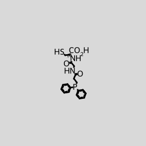 O=C(CCP(c1ccccc1)c1ccccc1)NCC(=O)N[C@@H](CS)C(=O)O